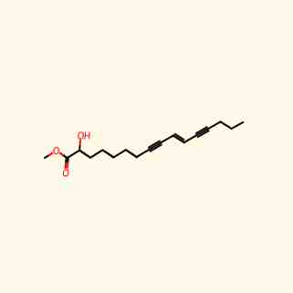 CCCC#CC=CC#CCCCCCC(O)C(=O)OC